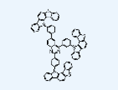 c1cc(-c2ccc3nc(-c4ccc(-n5c6ccccc6c6ccc7sc8ccccc8c7c65)cc4)nc(-c4cccc(-n5c6ccccc6c6ccc7sc8ccccc8c7c65)c4)c3c2)cc(-n2c3ccccc3c3ccc4sc5ccccc5c4c32)c1